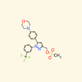 CS(=O)(=O)OCc1cc(-c2ccc(N3CCOCC3)cc2)n(-c2cccc(C(F)(F)F)c2)n1